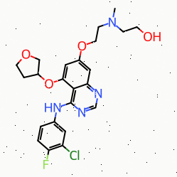 CN(CCO)CCOc1cc(OC2CCOC2)c2c(Nc3ccc(F)c(Cl)c3)ncnc2c1